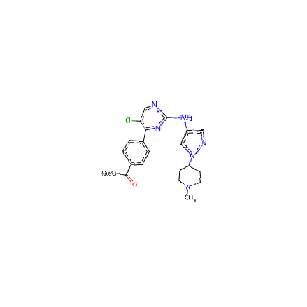 COC(=O)c1ccc(-c2nc(Nc3cnn(C4CCN(C)CC4)c3)ncc2Cl)cc1